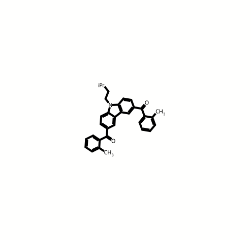 Cc1ccccc1C(=O)c1ccc2c(c1)c1cc(C(=O)c3ccccc3C)ccc1n2CCC(C)C